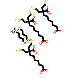 CCC[CH2][Sn+3].CCC[CH2][Sn+3].O=C([O-])CCCCCCC(CCS)(CCS)C(=O)[O-].O=C([O-])CCCCCCC(CCS)(CCS)C(=O)[O-].O=C([O-])CCCCCCC(CCS)(CCS)C(=O)[O-]